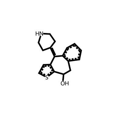 OC1Cc2ccccc2C(=C2CCNCC2)c2ccsc21